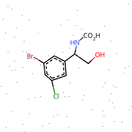 O=C(O)NC(CO)c1cc(Cl)cc(Br)c1